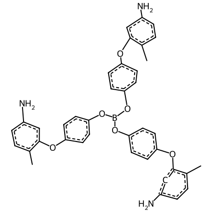 Cc1ccc(N)cc1Oc1ccc(OB(Oc2ccc(Oc3cc(N)ccc3C)cc2)Oc2ccc(Oc3cc(N)ccc3C)cc2)cc1